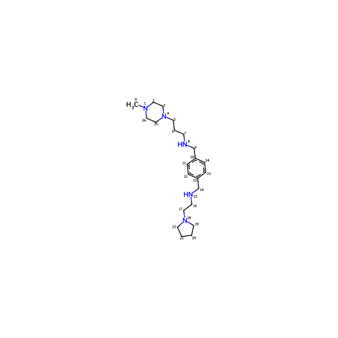 CN1CCN(CCCNCc2ccc(CNCCN3CCCC3)cc2)CC1